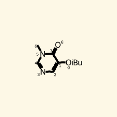 CC(C)COc1cncn(C)c1=O